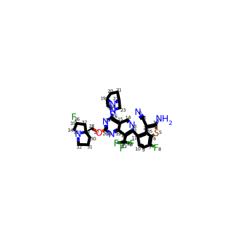 N#Cc1c(N)sc2c(F)ccc(-c3ncc4c(N5CC6CCC(C5)N6)nc(OC[C@@]56CCCN5C[C@H](F)C6)nc4c3C(F)(F)F)c12